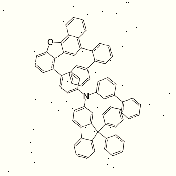 c1ccc(-c2cccc(N(c3ccc(-c4cccc5oc6c7ccccc7c(-c7ccccc7-c7ccccc7)cc6c45)cc3)c3ccc4c(c3)C(c3ccccc3)(c3ccccc3)c3ccccc3-4)c2)cc1